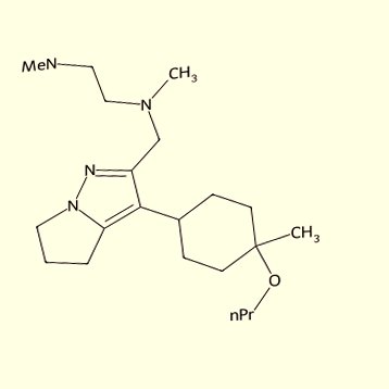 CCCOC1(C)CCC(c2c(CN(C)CCNC)nn3c2CCC3)CC1